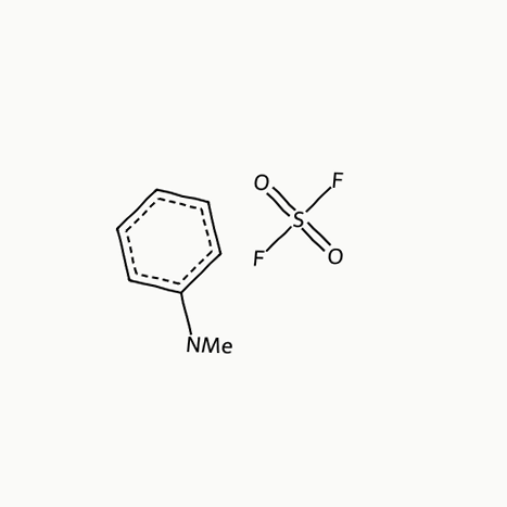 CNc1ccccc1.O=S(=O)(F)F